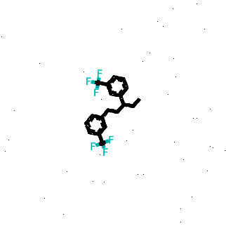 CCC(CCc1cccc(C(F)(F)F)c1)c1cccc(C(F)(F)F)c1